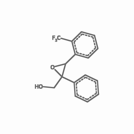 OCC1(c2ccccc2)OC1c1ccccc1C(F)(F)F